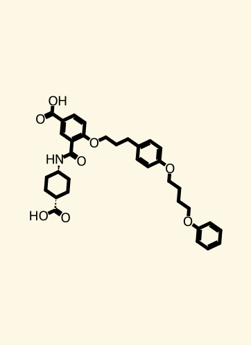 O=C(O)c1ccc(OCCCc2ccc(OCCCCOc3ccccc3)cc2)c(C(=O)N[C@H]2CC[C@@H](C(=O)O)CC2)c1